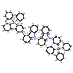 c1ccc([Si](c2ccccc2)(c2ccccc2)c2cccc(-n3c4ccccc4c4c(-n5c6ccccc6c6c(-c7ccc8c(c7)-c7ccccc7[Si]8(c7ccccc7)c7ccccc7)cccc65)cccc43)c2)cc1